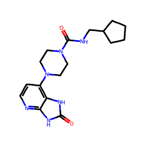 O=C(NCC1CCCC1)N1CCN(c2ccnc3[nH]c(=O)[nH]c23)CC1